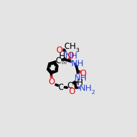 CC(=O)N[C@H]1Cc2ccc(cc2)OCCCC[C@@H](C(N)=O)NC(=O)CNC1=O